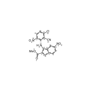 COC(=O)c1sc2ccc([N+](=O)[O-])cc2c1N.N#Cc1cc([N+](=O)[O-])ccc1Cl